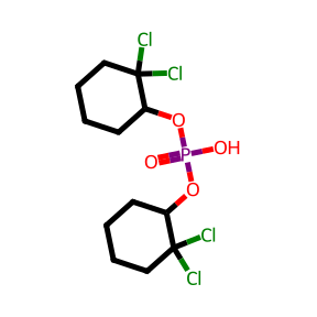 O=P(O)(OC1CCCCC1(Cl)Cl)OC1CCCCC1(Cl)Cl